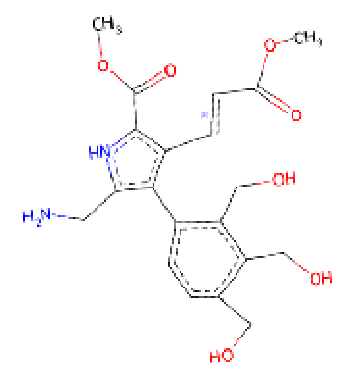 COC(=O)/C=C/c1c(C(=O)OC)[nH]c(CN)c1-c1ccc(CO)c(CO)c1CO